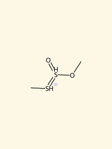 CO/[SH](=O)=[SH]/C